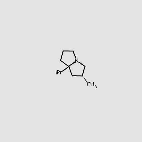 CC(C)C12CCCN1C[C@H](C)C2